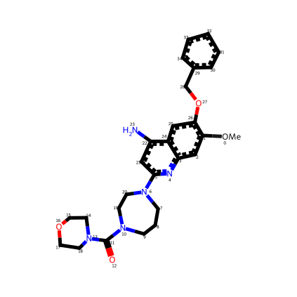 COc1cc2nc(N3CCCN(C(=O)N4CCOCC4)CC3)cc(N)c2cc1OCc1ccccc1